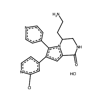 Cl.NCCC1CNC(=O)c2cc(-c3ccnc(Cl)c3)c(-c3ccncc3)n21